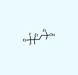 CCC(C)(O)CCC(C)(CC)C(F)(F)CC